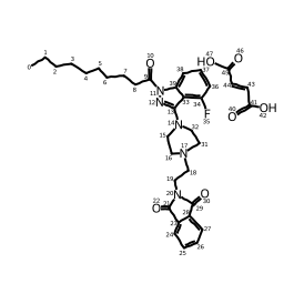 CCCCCCCCCC(=O)n1nc(N2CCN(CCN3C(=O)c4ccccc4C3=O)CC2)c2c(F)cccc21.O=C(O)C=CC(=O)O